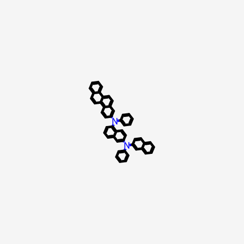 c1ccc(N(c2ccc3ccccc3c2)c2ccc3c(N(c4ccccc4)c4ccc5c(ccc6c7ccccc7ccc56)c4)cccc3c2)cc1